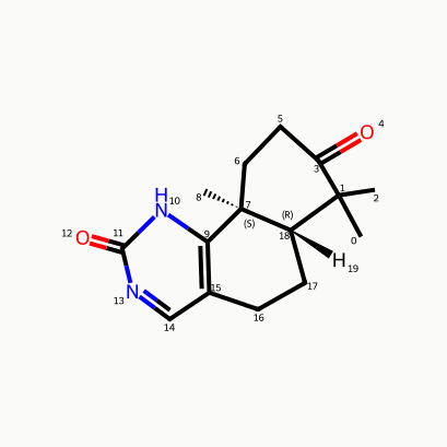 CC1(C)C(=O)CC[C@]2(C)c3[nH]c(=O)ncc3CC[C@@H]12